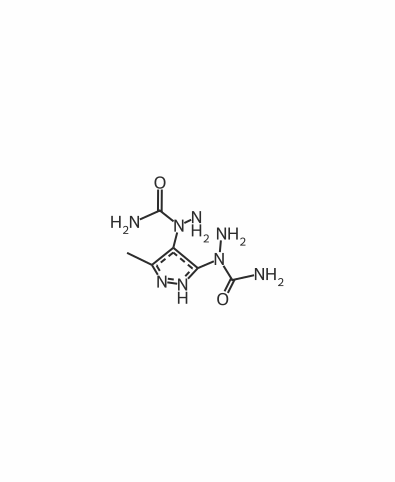 Cc1n[nH]c(N(N)C(N)=O)c1N(N)C(N)=O